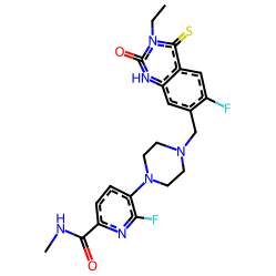 CCn1c(=O)[nH]c2cc(CN3CCN(c4ccc(C(=O)NC)nc4F)CC3)c(F)cc2c1=S